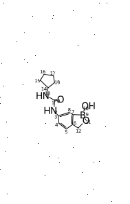 O=C(Nc1ccc2c(c1)B(O)OC2)NC1CCCC1